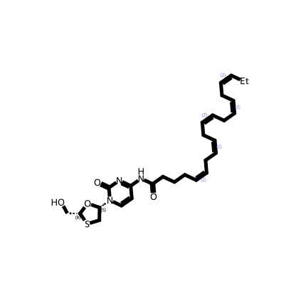 CC/C=C\C/C=C\C/C=C\C/C=C\C/C=C\CCCC(=O)Nc1ccn([C@@H]2CS[C@H](CO)O2)c(=O)n1